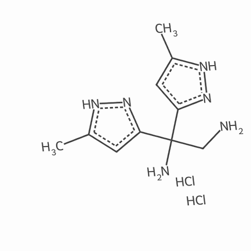 Cc1cc(C(N)(CN)c2cc(C)[nH]n2)n[nH]1.Cl.Cl